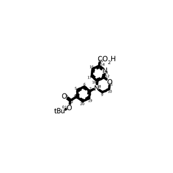 CC(C)(C)OC(=O)c1ccc(N2CCOc3nc(C(=O)O)ccc32)cc1